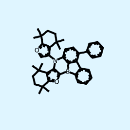 CC1(C)CCC(C)(C)c2c(N3c4ccc(-c5ccccc5)c5c4B(c4ccccc4-5)c4oc5c(c43)C(C)(C)CCC5(C)C)coc21